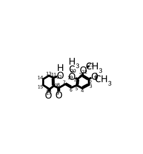 COc1ccc(C=CC(=O)C2=C(O)CCCC2=O)c(OC)c1OC